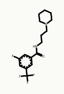 O=C(NCCCN1CCCCC1)c1cc(F)cc(C(F)(F)F)c1